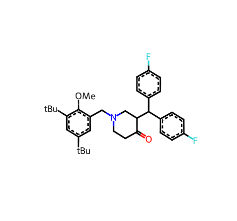 COc1c(CN2CCC(=O)C(C(c3ccc(F)cc3)c3ccc(F)cc3)C2)cc(C(C)(C)C)cc1C(C)(C)C